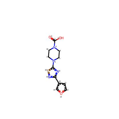 O=C(O)N1CCN(c2nc(-c3ccoc3)ns2)CC1